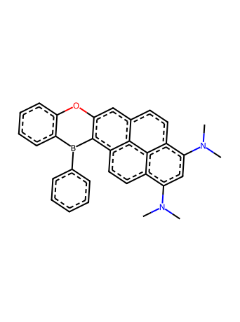 CN(C)c1cc(N(C)C)c2ccc3c4c(cc5ccc1c2c53)Oc1ccccc1B4c1ccccc1